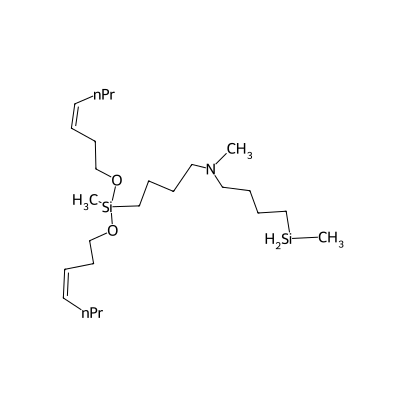 CCC/C=C\CCO[Si](C)(CCCCN(C)CCCC[SiH2]C)OCC/C=C\CCC